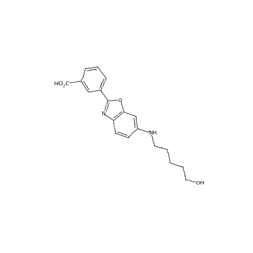 O=C(O)c1cccc(-c2nc3ccc(NCCCCCO)cc3o2)c1